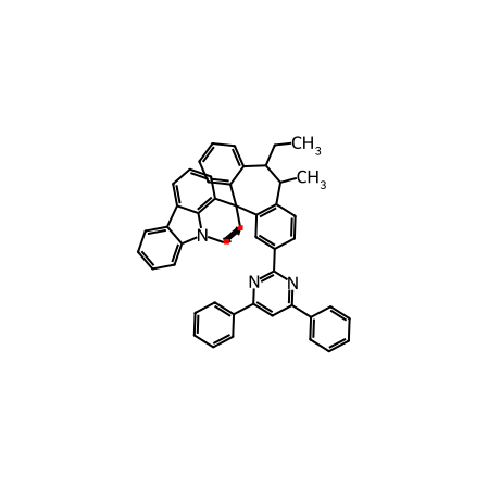 CCC1c2ccccc2C2(c3cc(-c4nc(-c5ccccc5)cc(-c5ccccc5)n4)ccc3C1C)c1ccccc1-n1c3ccccc3c3cccc2c31